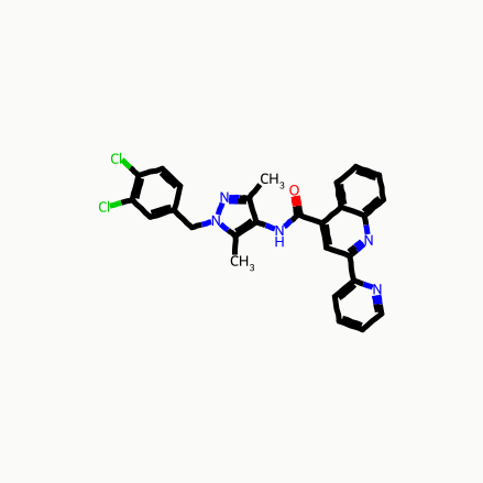 Cc1nn(Cc2ccc(Cl)c(Cl)c2)c(C)c1NC(=O)c1cc(-c2ccccn2)nc2ccccc12